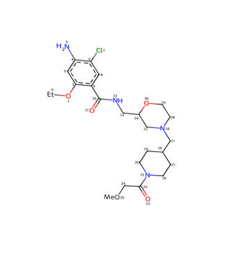 CCOc1cc(N)c(Cl)cc1C(=O)NCC1CN(CC2CCN(C(=O)COC)CC2)CCO1